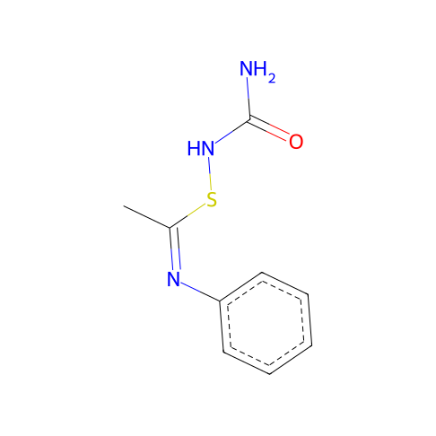 CC(=Nc1ccccc1)SNC(N)=O